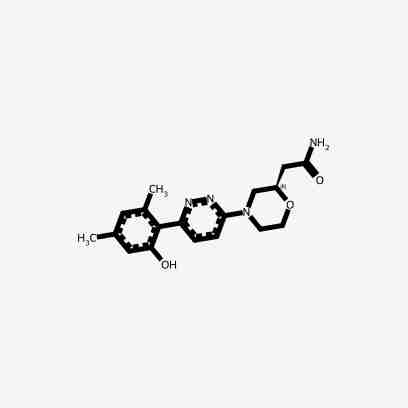 Cc1cc(C)c(-c2ccc(N3CCO[C@H](CC(N)=O)C3)nn2)c(O)c1